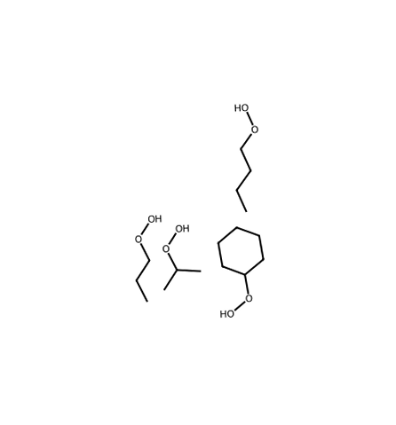 CC(C)OO.CCCCOO.CCCOO.OOC1CCCCC1